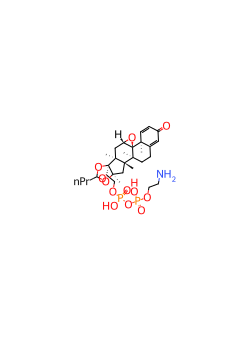 CCCC1O[C@@]2(C(=O)COP(=O)(O)OP(=O)(O)OCCN)[C@@]3(C)C[C@@H]4O[C@@]45[C@@](C)(CCC4=CC(=O)C=C[C@@]45C)[C@]3(C)C[C@@]2(C)O1